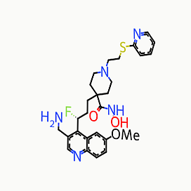 COc1ccc2ncc(CN)c([C@H](F)CCC3(C(=O)NO)CCN(CCSc4ccccn4)CC3)c2c1